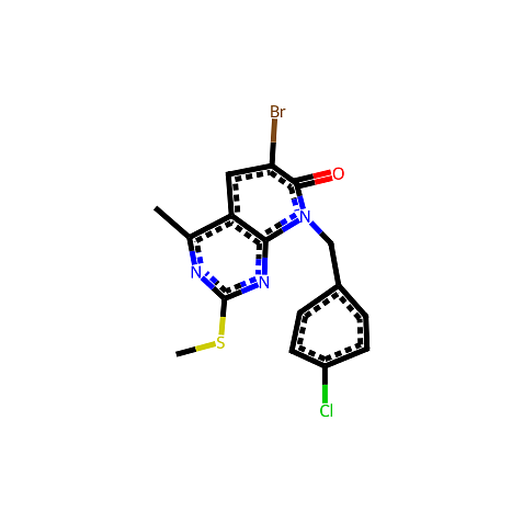 CSc1nc(C)c2cc(Br)c(=O)n(Cc3ccc(Cl)cc3)c2n1